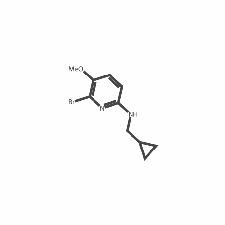 COc1ccc(NCC2CC2)nc1Br